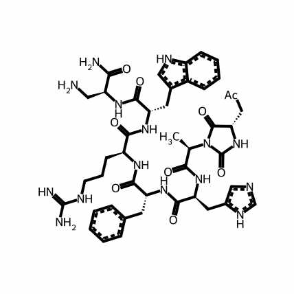 CC(=O)C[C@@H]1NC(=O)N([C@H](C)C(=O)N[C@@H](Cc2cnc[nH]2)C(=O)N[C@H](Cc2ccccc2)C(=O)N[C@@H](CCCNC(=N)N)C(=O)N[C@@H](Cc2c[nH]c3ccccc23)C(=O)N[C@@H](CN)C(N)=O)C1=O